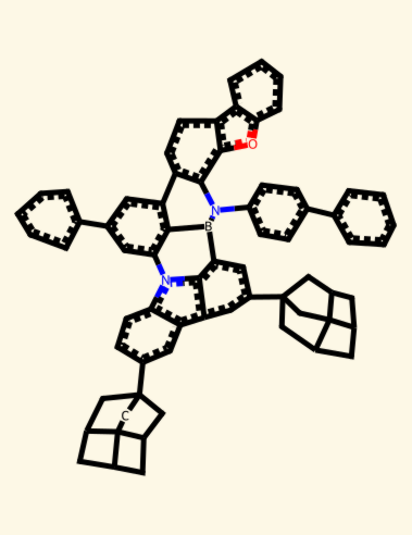 c1ccc(-c2ccc(N3B4c5c(cc(-c6ccccc6)cc5-n5c6ccc(C78CC9CC%10CC(C7)C%109C8)cc6c6cc(C78CC9CC%10CC(C7)C%109C8)cc4c65)-c4ccc5c(oc6ccccc65)c43)cc2)cc1